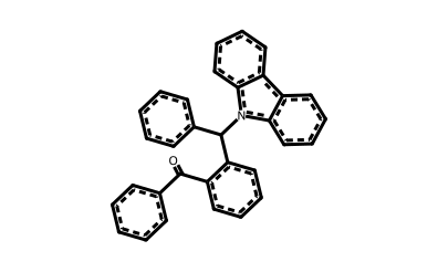 O=C(c1ccccc1)c1ccccc1C(c1ccccc1)n1c2ccccc2c2ccccc21